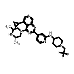 CC1CN(c2nc(-c3ccnc(NC4CCN(CC(F)(F)I)CC4)c3)nc3cncc(C4CC4)c23)C[C@H](C)N1